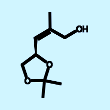 CC(=C[C@@H]1COC(C)(C)O1)CO